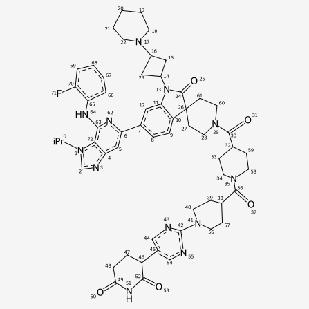 CC(C)n1cnc2cc(-c3ccc4c(c3)N(C3CC(N5CCCCC5)C3)C(=O)C43CCN(C(=O)C4CCN(C(=O)C5CCN(c6ncc(C7CCC(=O)NC7=O)cn6)CC5)CC4)CC3)nc(Nc3ccccc3F)c21